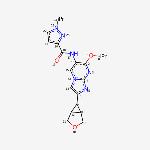 CC(C)Oc1nc2nc(C3C4COCC43)cn2cc1NC(=O)c1ccn(C(C)C)n1